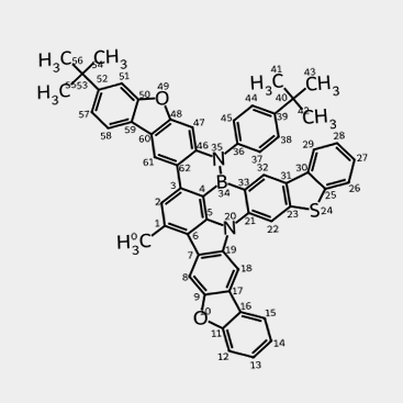 Cc1cc2c3c4c1c1cc5oc6ccccc6c5cc1n4-c1cc4sc5ccccc5c4cc1B3N(c1ccc(C(C)(C)C)cc1)c1cc3oc4cc(C(C)(C)C)ccc4c3cc1-2